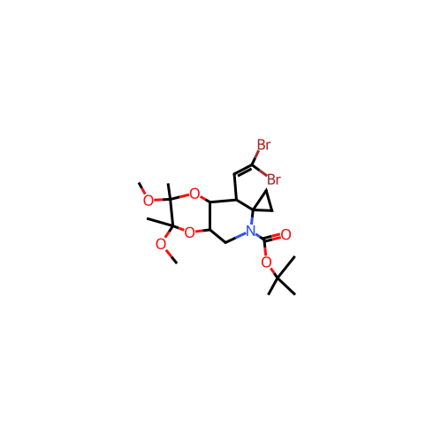 COC1(C)OC2CN(C(=O)OC(C)(C)C)C3(CC3)C(C=C(Br)Br)C2OC1(C)OC